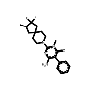 C[C@@H]1CC2(CCN(c3nc(N)c(-c4ccccc4)c(=O)n3C)CC2)CC1(F)F